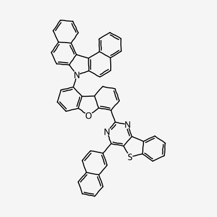 C1=CC(c2nc(-c3ccc4ccccc4c3)c3sc4ccccc4c3n2)=C2Oc3cccc(-n4c5ccc6ccccc6c5c5c6ccccc6ccc54)c3C2C1